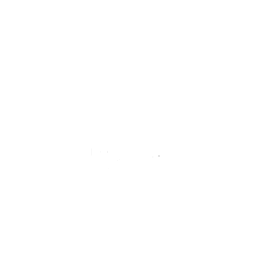 CCC(=O)OC.CS(=O)(=O)O.OCCO